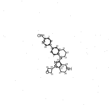 O=Nc1ccc(-c2ccc3c(c2)CCCN3c2nn(C3COC3)c3c2CNCC3)cn1